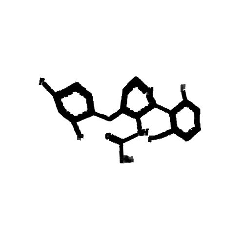 CC(C)(C)C(=O)Nc1c(Cc2ccc(F)cc2F)ccnc1-c1c(F)cccc1F